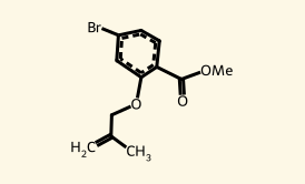 C=C(C)COc1cc(Br)ccc1C(=O)OC